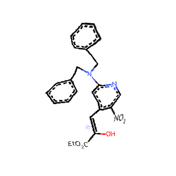 CCOC(=O)/C(O)=C/c1cc(N(Cc2ccccc2)Cc2ccccc2)ncc1[N+](=O)[O-]